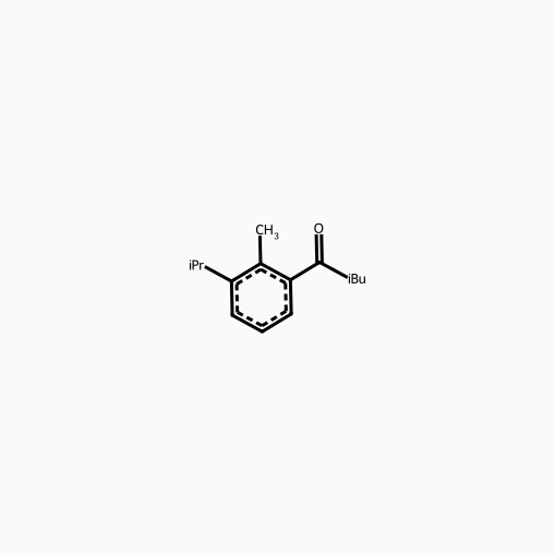 CCC(C)C(=O)c1cccc(C(C)C)c1C